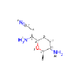 C[C@H]1OC(C(N)CC#N)CCC1N